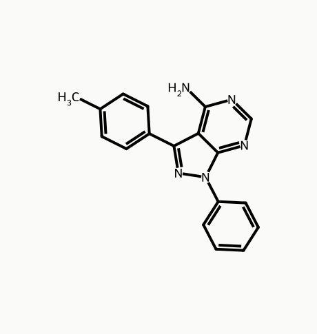 Cc1ccc(-c2nn(-c3ccccc3)c3ncnc(N)c23)cc1